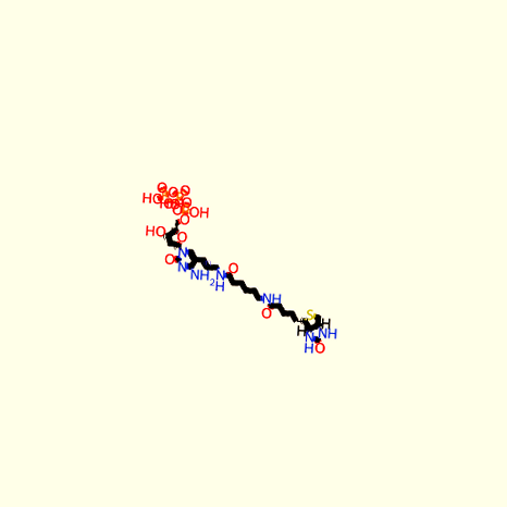 Nc1nc(=O)n([C@H]2C[C@H](O)[C@@H](COP(=O)(O)OP(=O)(O)OP(=O)(O)O)O2)cc1/C=C/CNC(=O)CCCCCNC(=O)CCCC[C@@H]1SC[C@@H]2NC(=O)N[C@@H]21